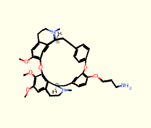 COc1cc2c3cc1Oc1c(OC)c(OC)cc4c1[C@@H](Cc1ccc(OCCCN)c(c1)Oc1ccc(cc1)C[C@@H]3N(C)CC2)N(C)CC4